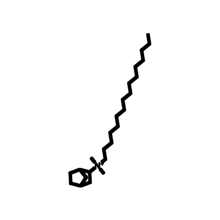 CCCCCCCCCCCCCCCC[N+](C)(C)C1CC2CCC1C2